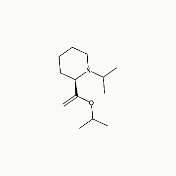 C=C(OC(C)C)[C@H]1CCCCN1C(C)C